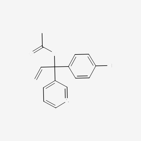 C=CC(OC(C)=O)(c1ccc(Cl)cc1)c1cccnc1